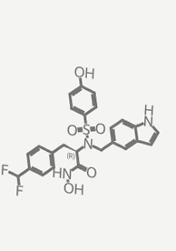 O=C(NO)[C@@H](Cc1ccc(C(F)F)cc1)N(Cc1ccc2[nH]ccc2c1)S(=O)(=O)c1ccc(O)cc1